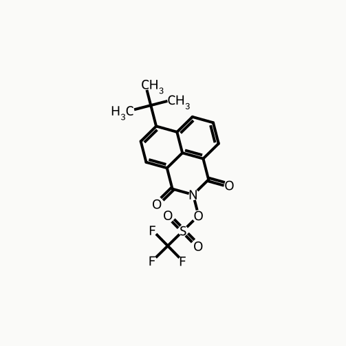 CC(C)(C)c1ccc2c3c(cccc13)C(=O)N(OS(=O)(=O)C(F)(F)F)C2=O